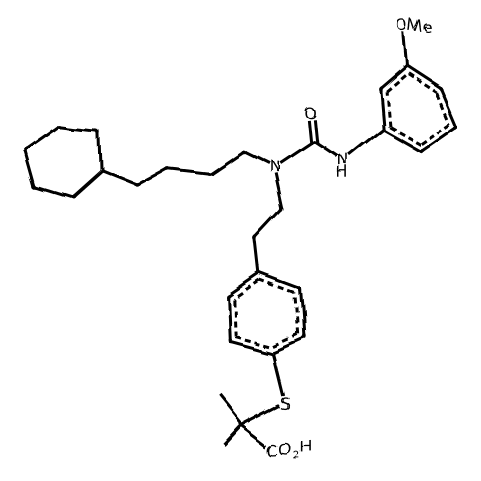 COc1cccc(NC(=O)N(CCCCC2CCCCC2)CCc2ccc(SC(C)(C)C(=O)O)cc2)c1